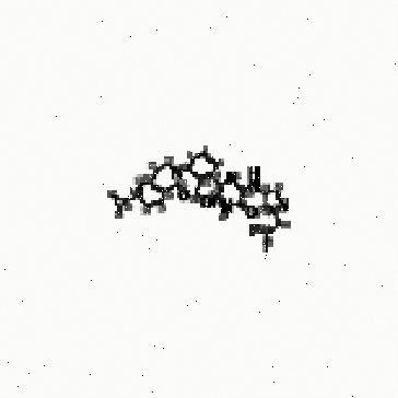 Cn1cc(-c2cccc(N3CCc4cc(C5CC5)ccc4C3=O)c2CO)nc(Nc2cnn(CC(F)F)c2)c1=O